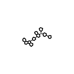 c1ccc(-c2ccc(N(c3ccccc3)c3ccc(-c4ccc(-c5cc6c7ccccc7ccc6c6ccccc56)cc4)c4ccccc34)cc2)cc1